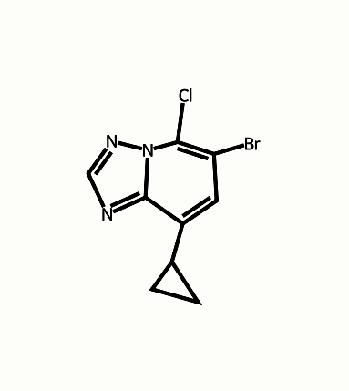 Clc1c(Br)cc(C2CC2)c2ncnn12